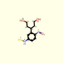 O=Nc1ccc(NS)cc1C(CCO)CCO